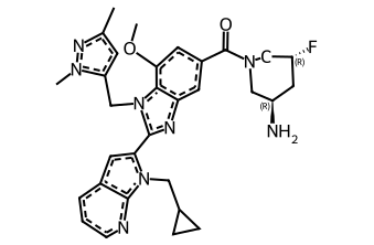 COc1cc(C(=O)N2C[C@H](N)C[C@@H](F)C2)cc2nc(-c3cc4cccnc4n3CC3CC3)n(Cc3cc(C)nn3C)c12